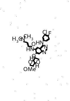 CO[C@@H]1CO[C@@H]2[C@@H]1OC[C@@H]2Oc1cc2ncnc(Nc3ccc(F)c(Cl)c3)c2cc1NC(=O)/C=C/CN(C)C